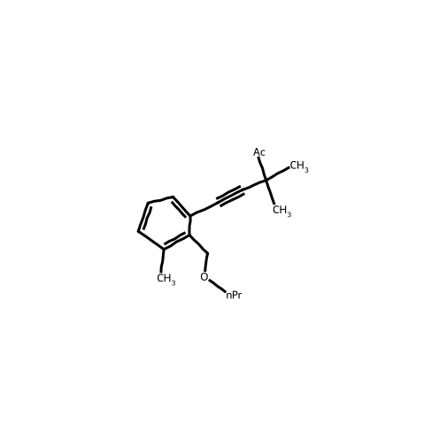 CCCOCc1c(C)cccc1C#CC(C)(C)C(C)=O